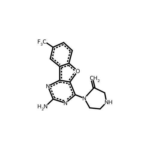 C=C1CNCCN1c1nc(N)nc2c1oc1ccc(C(F)(F)F)cc12